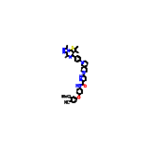 COc1cc(OC2CCC(NC(=O)c3ccc(N4CCC5(CCCN(c6ccc(C7=N[C@@H](C)c8nnc(C)n8-c8sc(C)c(C)c87)cc6)C5)CC4)nn3)CC2)ccc1C#N